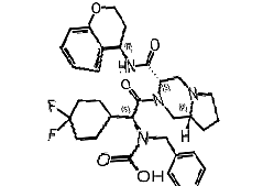 O=C(N[C@@H]1CCOc2ccccc21)[C@@H]1CN2CCC[C@@H]2CN1C(=O)[C@H](C1CCC(F)(F)CC1)N(Cc1ccccc1)C(=O)O